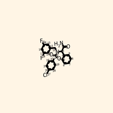 NC(=O)C(c1ccccc1)N(Cc1cc(F)cc(F)c1)S(=O)(=O)c1ccc(Cl)cc1